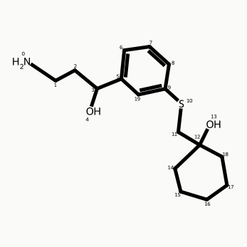 NCCC(O)c1cccc(SCC2(O)CCCCC2)c1